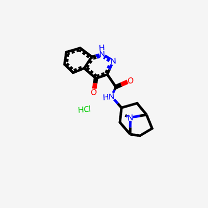 CN1C2CCC1CC(NC(=O)c1n[nH]c3ccccc3c1=O)C2.Cl